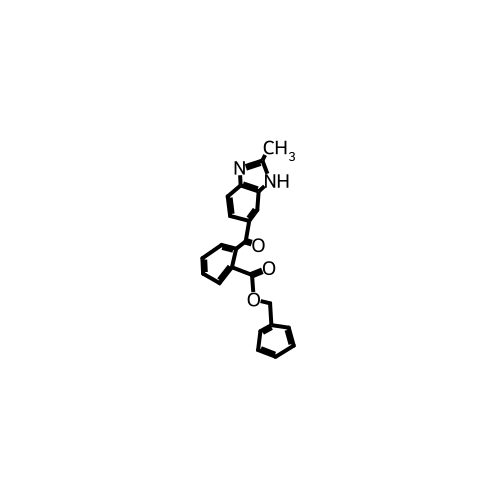 Cc1nc2ccc(C(=O)c3ccccc3C(=O)OCc3ccccc3)cc2[nH]1